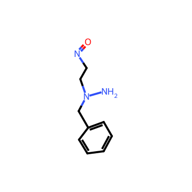 NN(CCN=O)Cc1ccccc1